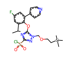 CC(C)c1cc(F)cc(-c2ccncc2)c1Oc1nc(S(=O)(=O)Cl)nn1COCC[Si](C)(C)C